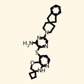 Nc1nc(N2CCC3(CC2)Cc2ccccc2C3)cnc1Sc1ccnc2c1OCC1(CCC1)N2